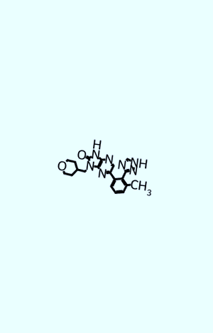 Cc1cccc(-c2cnc3[nH]c(=O)n(CC4CCOCC4)c3n2)c1-c1nc[nH]n1